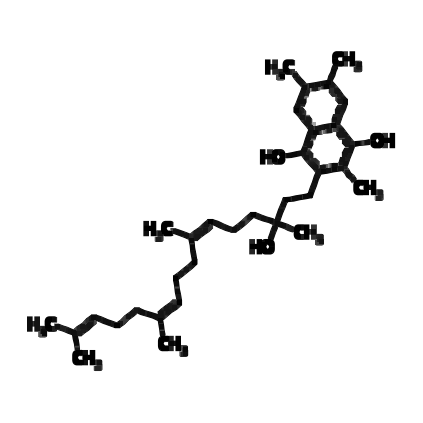 CC(C)=CCCC(C)=CCCC(C)=CCCC(C)(O)CCc1c(C)c(O)c2cc(C)c(C)cc2c1O